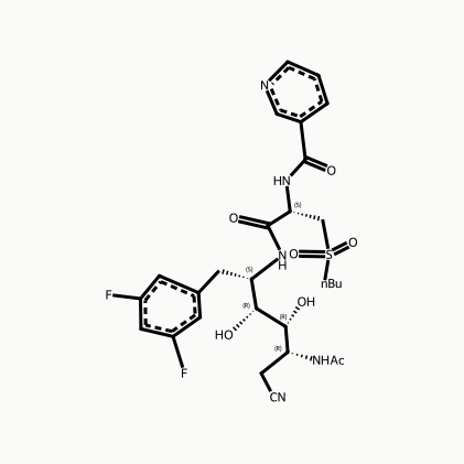 CCCCS(=O)(=O)C[C@@H](NC(=O)c1cccnc1)C(=O)N[C@@H](Cc1cc(F)cc(F)c1)[C@@H](O)[C@H](O)[C@@H](CC#N)NC(C)=O